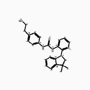 CC1(C)CN(c2ncccc2NC(=O)Nc2ccc(CCO)cc2)c2ccccc21